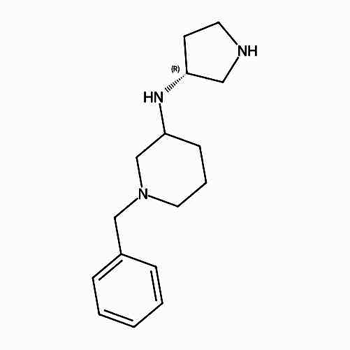 c1ccc(CN2CCCC(N[C@@H]3CCNC3)C2)cc1